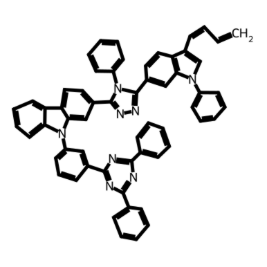 C=C/C=C\c1cn(-c2ccccc2)c2cc(-c3nnc(-c4ccc5c6ccccc6n(-c6cccc(-c7nc(-c8ccccc8)nc(-c8ccccc8)n7)c6)c5c4)n3-c3ccccc3)ccc12